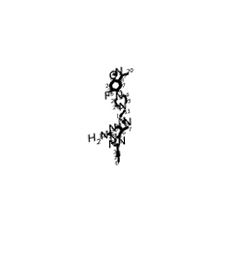 CC#Cc1nc2c3cnn(CCN4CCN(c5cc6c(C)noc6cc5F)CC4)c3nc(N)n2n1